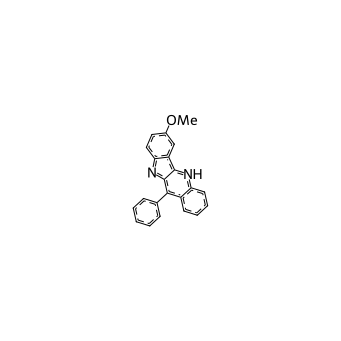 COc1ccc2nc3c(-c4ccccc4)c4ccccc4[nH]c-3c2c1